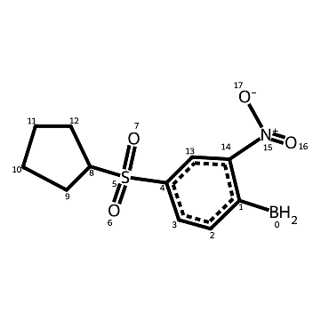 Bc1ccc(S(=O)(=O)C2CCCC2)cc1[N+](=O)[O-]